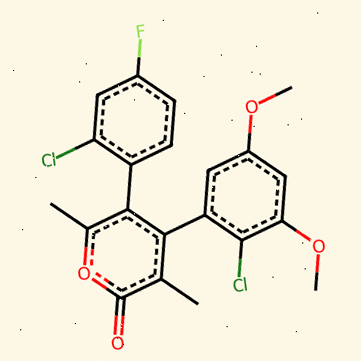 COc1cc(OC)c(Cl)c(-c2c(-c3ccc(F)cc3Cl)c(C)oc(=O)c2C)c1